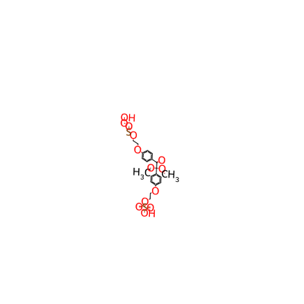 COC(OC)(C(=O)c1ccc(OCCOSOOO)cc1)c1ccc(OCCOS(=O)(=O)O)cc1